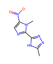 Cc1nnc(-c2ncc([N+](=O)[O-])n2C)[nH]1